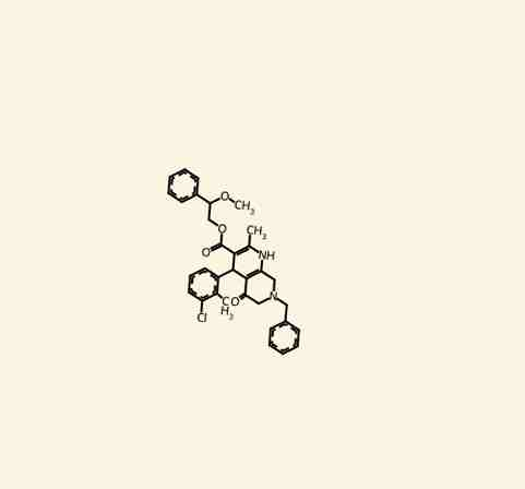 COC(COC(=O)C1=C(C)NC2=C(C(=O)CN(Cc3ccccc3)C2)C1c1cccc(Cl)c1C)c1ccccc1